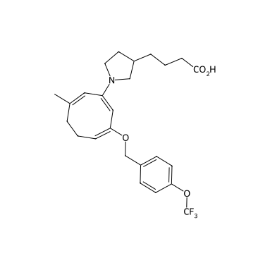 C/C1=C/C(N2CCC(CCCC(=O)O)C2)=C\C(OCc2ccc(OC(F)(F)F)cc2)=C/CC1